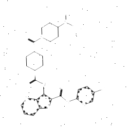 CN(C)C1CCN(C(=O)[C@H]2CC[C@H](C(=O)Nc3c(C(=O)Nc4ccc(Cl)cn4)oc4cccnc34)CC2)CC1